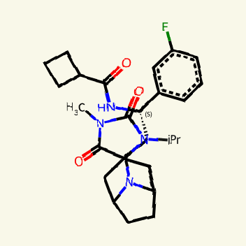 CC(C)N1C(=O)N(C)C(=O)C12CC1CCC(C2)N1CC[C@H](NC(=O)C1CCC1)c1cccc(F)c1